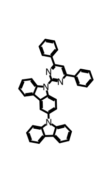 c1ccc(-c2cc(-c3ccccc3)nc(-n3c4ccccc4c4cc(-n5c6ccccc6c6ccccc65)ccc43)n2)cc1